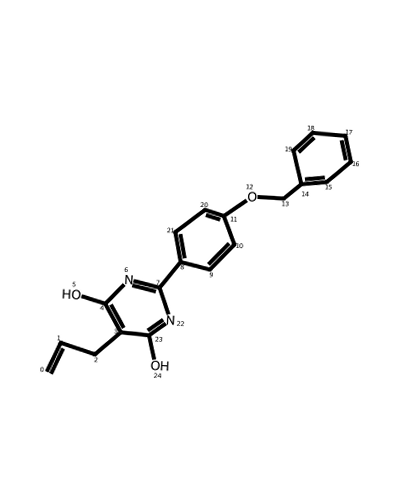 C=CCc1c(O)nc(-c2ccc(OCc3ccccc3)cc2)nc1O